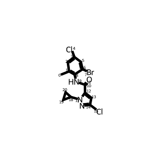 Cc1cc(Cl)cc(Br)c1NC(=O)c1cc(Cl)nn1C1CC1